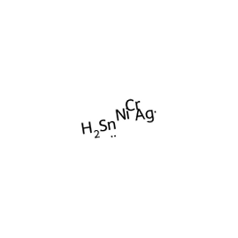 [Ag].[Cr].[Ni].[SnH2]